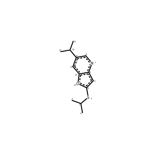 CC(C)Sc1cc2ncc(C(C)C)cc2o1